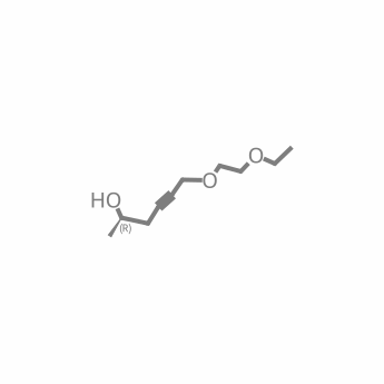 CCOCCOCC#CC[C@@H](C)O